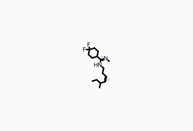 CCC(C)/C=C\CCN/C(=N\C)C1CCC(F)(F)CC1